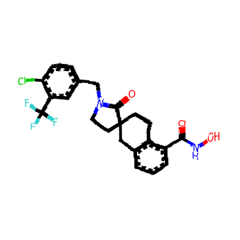 O=C(NO)c1cccc2c1CCC1(CCN(Cc3ccc(Cl)c(C(F)(F)F)c3)C1=O)C2